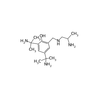 CC(N)CNCc1cc(C(C)(C)N)cc(C(C)(C)N)c1O